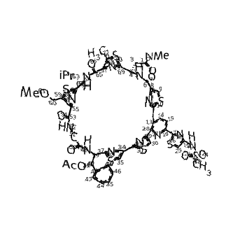 CNC(=O)C[C@@H]1NC(=O)c2csc(n2)-c2ccc(-c3nc(NS(C)(=O)=O)cs3)nc2-c2csc(n2)-c2csc(n2)C([C@@H](OC(C)=O)c2ccccc2)NC(=O)CNC(=O)c2nc(sc2COC)[C@H](C(C)C)NC(=O)c2nc1sc2C